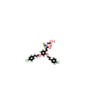 O=C(O)CN1C(=O)/C(=C/c2ccc(OCCCc3ccc(Cl)cc3)cc2OCCCc2ccc(Cl)cc2)SC1=S